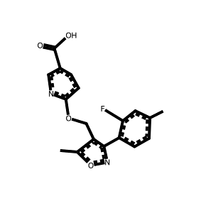 Cc1ccc(-c2noc(C)c2COc2ccc(C(=O)O)cn2)c(F)c1